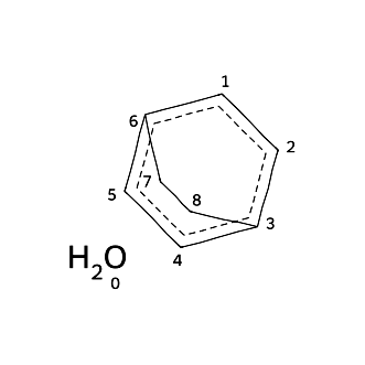 O.c1cc2ccc1CC2